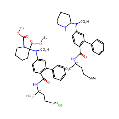 CSCC[C@H](NC(=O)c1ccc(N(C(=O)O)C2(C(=O)OC(C)(C)C)CCCCN2C(=O)OC(C)(C)C)cc1-c1ccccc1)C(=O)O.CSCC[C@H](NC(=O)c1ccc(N(C(=O)O)C2CCCCN2)cc1-c1ccccc1)C(=O)O.Cl